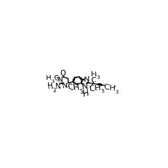 CC#CC(C)(C)c1nc2ccc(C3(C)CC(=O)N(C)C(N)=N3)cc2[nH]1